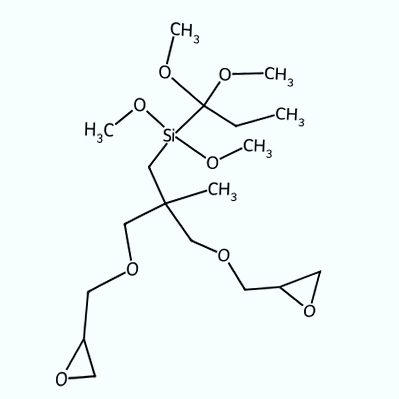 CCC(OC)(OC)[Si](CC(C)(COCC1CO1)COCC1CO1)(OC)OC